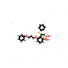 OS1(O)CC(Sc2ccccc2)c2c(OCCCOc3ccccc3)cccc21